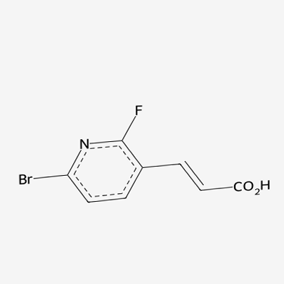 O=C(O)C=Cc1ccc(Br)nc1F